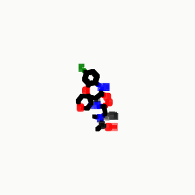 CC[C@@H](C(=O)N[C@H]1C(=O)Nc2ccc(F)cc2OC12CCOCC2)N(C)B(C)O